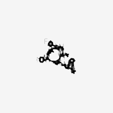 Cc1c2ccc(c1Cl)O[C@H](CN1CCN(C)CC1)COc1ccc(OCc3ccnc(-c4ccccc4CO[Si](C)(C)C(C)(C)C)n3)c(c1)C[C@H](C(=O)OC(C)(C)C)Oc1ncnc3sc(-c4ccc(F)cc4)c-2c13